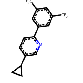 FC(F)(F)c1cc(-c2ccc(C3CC3)cn2)cc(C(F)(F)F)c1